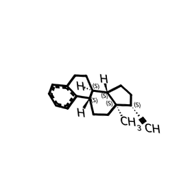 C#C[C@H]1CC[C@H]2[C@@H]3CCc4ccccc4[C@H]3CC[C@]12C